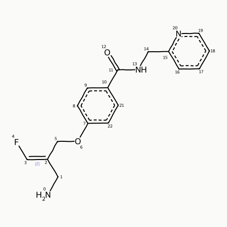 NC/C(=C/F)COc1ccc(C(=O)NCc2ccccn2)cc1